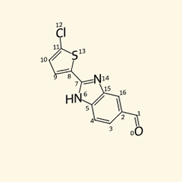 O=Cc1ccc2[nH]c(-c3ccc(Cl)s3)nc2c1